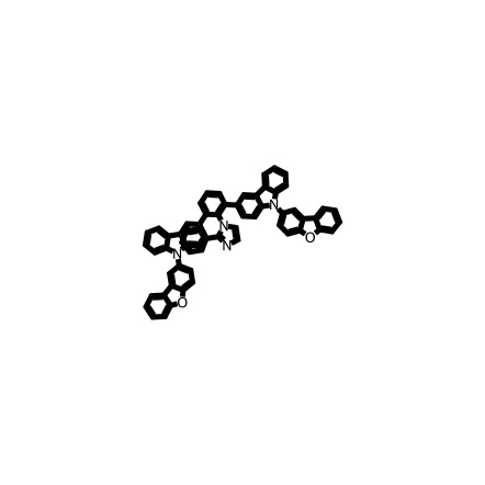 c1ccc(-c2nccn2-c2c(-c3ccc4c(c3)c3ccccc3n4-c3ccc4oc5ccccc5c4c3)cccc2-c2ccc3c(c2)c2ccccc2n3-c2ccc3oc4ccccc4c3c2)cc1